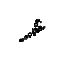 Cc1ccc(Cn2c(C(=O)Nc3ccc(N4CC(O)C4)nc3)cc3cc(F)cnc32)cc1